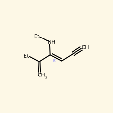 C#C/C=C(\NCC)C(=C)CC